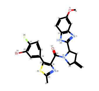 C=C1CC(c2nc3cc(OC)ccc3[nH]2)N(C(=O)c2nc(C)sc2-c2ccc(F)c(Br)c2)C1